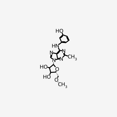 COC[C@H]1O[C@@H](n2cnc3c(Nc4cccc(O)c4)nc(C)nc32)C(O)C1O